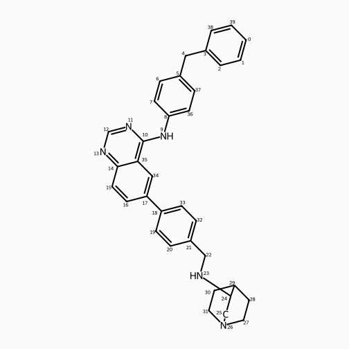 c1ccc(Cc2ccc(Nc3ncnc4ccc(-c5ccc(CNC6CN7CCC6CC7)cc5)cc34)cc2)cc1